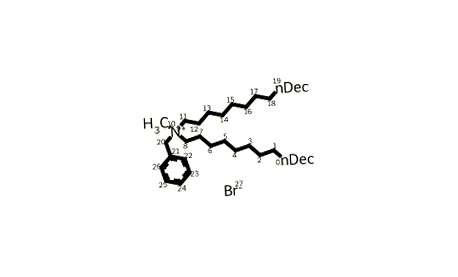 CCCCCCCCCCCCCCCCCC[N+](C)(CCCCCCCCCCCCCCCCCC)Cc1ccccc1.[Br-]